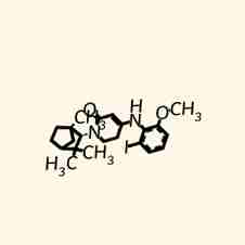 COc1cccc(I)c1NC1=CC(=O)N([C@@H]2C(C)(C)C3CC[C@@]2(C)C3)CC1